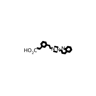 O=C(O)C=Cc1cccc(CCN2CCN(c3ccc4ccccc4n3)CC2)c1